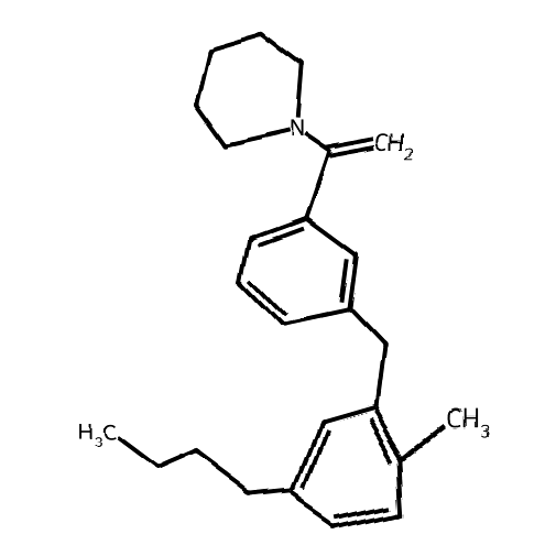 C=C(c1cccc(Cc2cc(CCCC)ccc2C)c1)N1CCCCC1